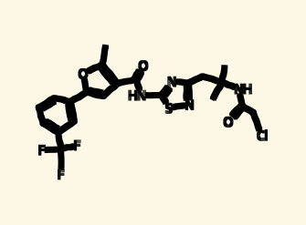 Cc1oc(-c2cccc(C(F)(F)F)c2)cc1C(=O)Nc1nc(CC(C)(C)NC(=O)CCl)ns1